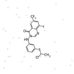 CC(Cl)Sc1cccc(Nn2cnc3c(I)cc(C(F)(F)F)cc3c2=O)c1